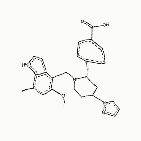 COc1cc(C)c2[nH]ccc2c1CN1CCC(n2cccn2)C[C@H]1c1ccc(C(=O)O)cc1